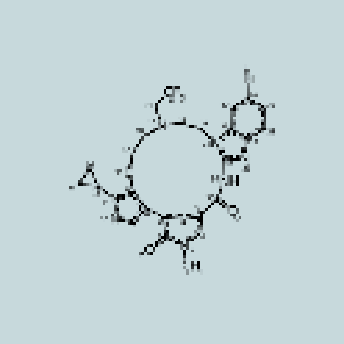 Cn1cc2cc(c1=O)-c1cnn(C3CC3)c1OCCN(CC(F)(F)F)CCn1c(nc3ccc(Br)cc31)NC2=O